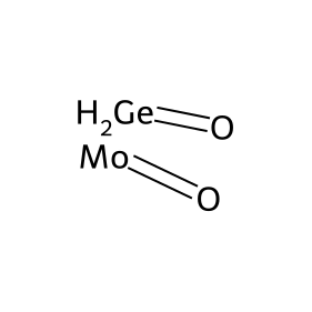 [O]=[GeH2].[O]=[Mo]